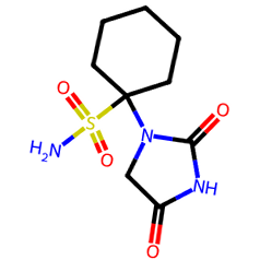 NS(=O)(=O)C1(N2CC(=O)NC2=O)CCCCC1